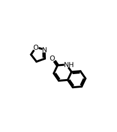 C1=NOCC1.O=c1ccc2ccccc2[nH]1